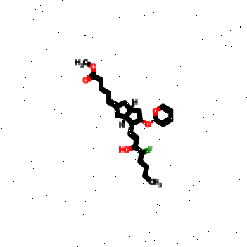 CCCCC(F)C(O)/C=C/C1[C@H]2C/C(=C/CCCC(=O)OC)C[C@H]2C[C@H]1O[C@H]1C=CC=CO1